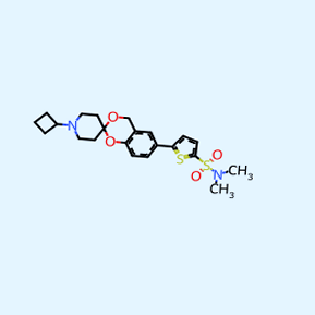 CN(C)S(=O)(=O)c1ccc(-c2ccc3c(c2)COC2(CCN(C4CCC4)CC2)O3)s1